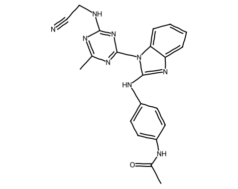 CC(=O)Nc1ccc(Nc2nc3ccccc3n2-c2nc(C)nc(NCC#N)n2)cc1